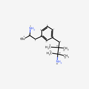 CC(C)(C)C(N)Cc1cccc(CC(C)(C)C(C)(C)N)c1